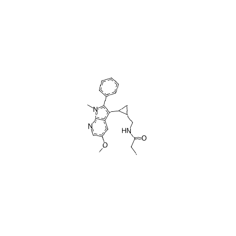 CCC(=O)NCC1CC1c1c(-c2ccccc2)n(C)c2ncc(OC)cc12